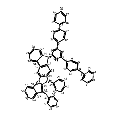 c1ccc(-c2ccc(-c3cc(-c4ccc(-c5ccccc5)cc4)nc(-n4c5ccccc5c5cc6c(cc54)n(-c4ccccc4)c4c(-c5ccccc5)c5ccccc5n64)n3)cc2)cc1